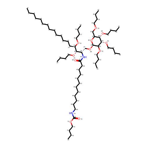 CCCCCCCCCCCCCC[C@@H](OCCCC)[C@@H](OCCCC)[C@H](CO[C@H]1OC(COCCCC)[C@H](OCCCC)[C@H](OCCCC)C1OCCCC)NC(=O)CCCCCCCCCCCNC(=O)OCCCC